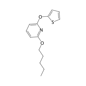 CCCCCOc1cccc(Oc2cccs2)n1